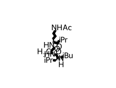 CCC(C)N[C@@H](CC(C)C)C(=O)NC(C)C(=O)N[C@@H](CCCCNC(C)=O)C(=O)C(C)C